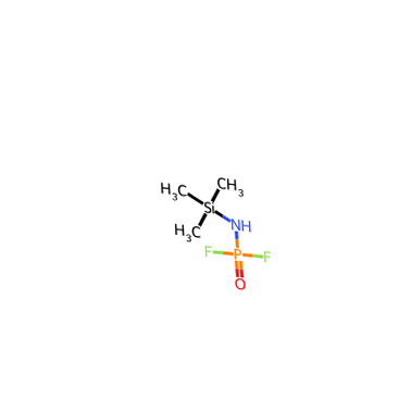 C[Si](C)(C)NP(=O)(F)F